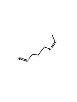 C/N=N\CCCN=N